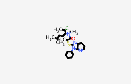 C=C(Cl)/C(=C\C=C(C)C)N(C)C(=O)C(C)Sc1nc2cccnc2n1-c1ccccc1